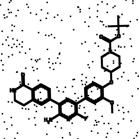 COc1cc(-c2cc(-c3ccc4c(c3)CCNC4=O)c(N)nc2F)ccc1OC1CCN(C(=O)OC(C)(C)C)CC1